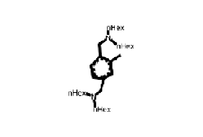 CCCCCCN(CCCCCC)Cc1ccc(CN(CCCCCC)CCCCCC)c(C)c1